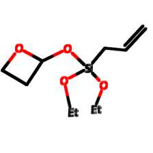 C=CC[Si](OCC)(OCC)OC1CCO1